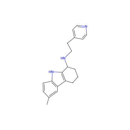 Cc1ccc2[nH]c3c(c2c1)CCCC3NCCc1ccncc1